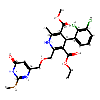 CCOC(=O)C1=C(COCc2cc(=O)[nH]c(SC)n2)NC(C)=C(C(=O)OC)C1c1cccc(Cl)c1Cl